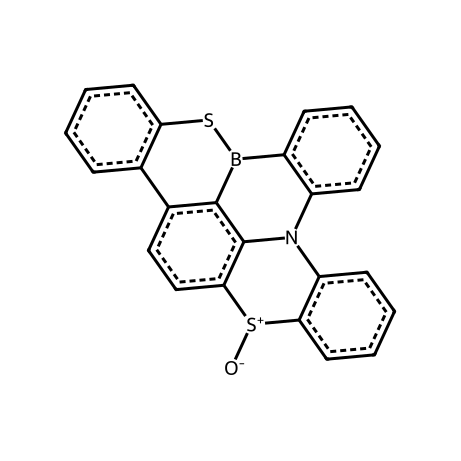 [O-][S+]1c2ccccc2N2c3ccccc3B3Sc4ccccc4-c4ccc1c2c43